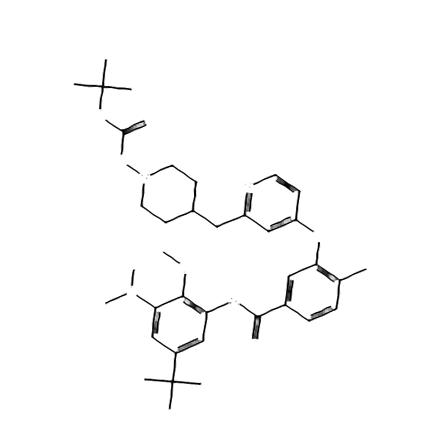 COc1c(NC(=O)c2ccc(C)c(Oc3ccnc(CC4CCN(OC(=O)OC(C)(C)C)CC4)c3)c2)cc(C(C)(C)C)cc1[S+](C)[O-]